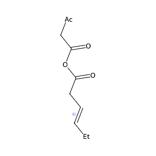 CC/C=C/CC(=O)OC(=O)CC(C)=O